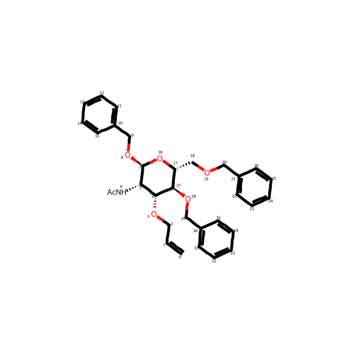 C=CCO[C@@H]1[C@H](NC(C)=O)[C@@H](OCc2ccccc2)O[C@H](COCc2ccccc2)[C@H]1OCc1ccccc1